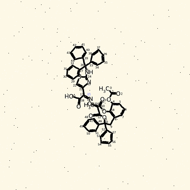 CC(=O)Oc1cccc(CC(OC(=O)CO/N=C(\C(=O)O)c2csc(NC(c3ccccc3)(c3ccccc3)c3ccccc3)n2)(c2ccccc2)c2ccccc2)c1OC(C)=O